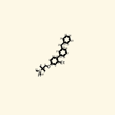 CCc1cc(OCC(C)(C)[SiH](C)C)ccc1-c1cccc(Cc2ccccc2)c1